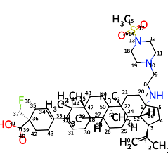 C=C(C)[C@@H]1CC[C@]2(NCCN3CCN(S(C)(=O)=O)CC3)CC[C@]3(C)[C@H](CC[C@@H]4C5(C)CC=C(C6=CC[C@](CF)(C(=O)O)CC6)C(C)(C)[C@@H]5CC[C@]43C)[C@@H]12